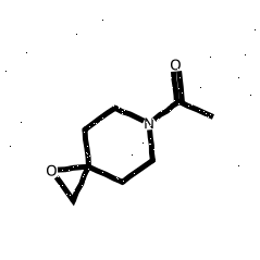 CC(=O)N1CCC2(CC1)CO2